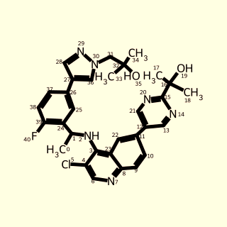 CC(Nc1c(Cl)cnc2ccc(-c3cnc(C(C)(C)O)nc3)cc12)c1cc(-c2cnn(CC(C)(C)O)c2)ccc1F